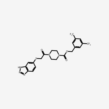 O=C(CSc1ccc2nn[nH]c2c1)N1CCN(C(=O)OCc2cc(C(F)(F)F)cc(C(F)(F)F)c2)CC1